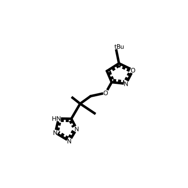 CC(C)(C)c1cc(OCC(C)(C)c2nnn[nH]2)no1